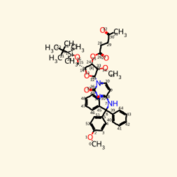 COc1ccc(C(Nc2ccn([C@@H]3O[C@H](CO[Si](C)(C)C(C)(C)C)[C@@H](OC(=O)CCC(C)=O)[C@H]3OC)c(=O)n2)(c2ccccc2)c2ccccc2)cc1